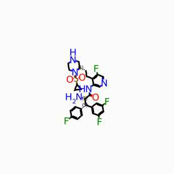 N[C@H](C(=O)Nc1cncc(F)c1CC[C@H]1CNCCN1S(=O)(=O)C1CC1)[C@@H](c1ccc(F)cc1)c1cc(F)cc(F)c1